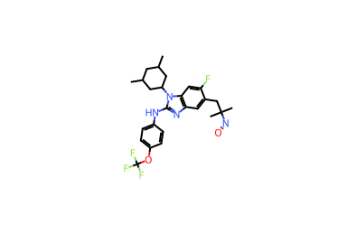 CC1CC(C)CC(n2c(Nc3ccc(OC(F)(F)F)cc3)nc3cc(CC(C)(C)N=O)c(F)cc32)C1